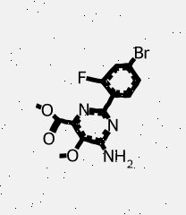 COC(=O)c1nc(-c2ccc(Br)cc2F)nc(N)c1OC